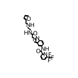 O=C(Cn1cc2cc(NC(=O)c3cccc(C(F)(F)F)n3)ccc2n1)NCCNCc1ccco1